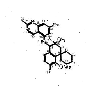 COc1c(F)ccc2c1C1(CCCCC1)CC(O)(C(F)(F)F)C2Nc1cc(F)cc2nc(C)ncc12